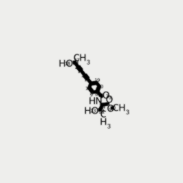 COC(=O)[C@@H](NC(=O)c1ccc(C#CC#C[C@H](C)O)cc1)[C@@H](C)O